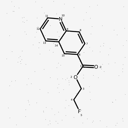 O=C(OCCF)c1ccc2ncccc2c1